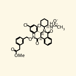 COC(=O)Cc1cccc(CONC(=O)[C@@H]2c3ccccc3C(=O)N(C3CCCC[C@@H]3N[S+](C)[O-])[C@H]2c2ccc(Cl)cc2Cl)c1